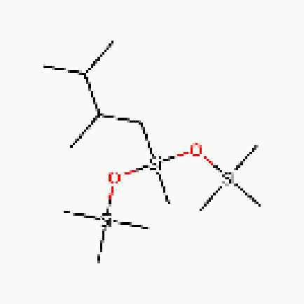 C[C](C)C(C)C[Si](C)(O[Si](C)(C)C)O[Si](C)(C)C